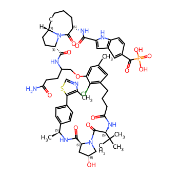 Cc1cc(CCCC(=O)N[C@H](C(=O)N2C[C@H](O)C[C@H]2C(=O)N[C@@H](C)c2ccc(-c3scnc3C)cc2)C(C)(C)C)c(Cl)c(OCC(CCC(N)=O)NC(=O)[C@@H]2CC[C@@H]3CCCC[C@H](NC(=O)c4cc5cc(C(=O)P(=O)(O)O)ccc5[nH]4)C(=O)N32)c1